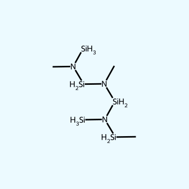 C[SiH2]N([SiH3])[SiH2]N(C)[SiH2]N(C)[SiH3]